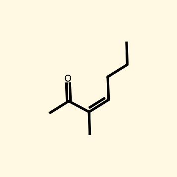 CCCC=C(C)C(C)=O